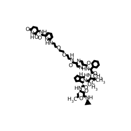 CCC[C@H](NC(=O)[C@@H]1C2CCC[C@H]2CN1C(=O)[C@@H](NC(=O)[C@@H](NC(=O)c1cnc(C(=O)NCCOCCOCCNc2cccc(C(=O)NC3CCC(=O)NC3=O)n2)cn1)C1CCCCC1)C(C)(C)C)C(=O)C(=O)NC1CC1